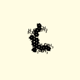 CC1(C)c2ccccc2-c2cc3c(cc21)-c1ccc(N(c2ccccc2)c2ccc4ccc5c(N(c6ccccc6)c6ccc7c(c6)C(C)(C)c6cc8c(cc6-7)C(C)(C)c6ccccc6-8)ccc6ccc2c4c65)cc1C3(C)C